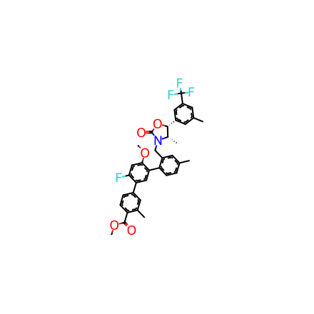 COC(=O)c1ccc(-c2cc(-c3ccc(C)cc3CN3C(=O)O[C@H](c4cc(C)cc(C(F)(F)F)c4)[C@@H]3C)c(OC)cc2F)cc1C